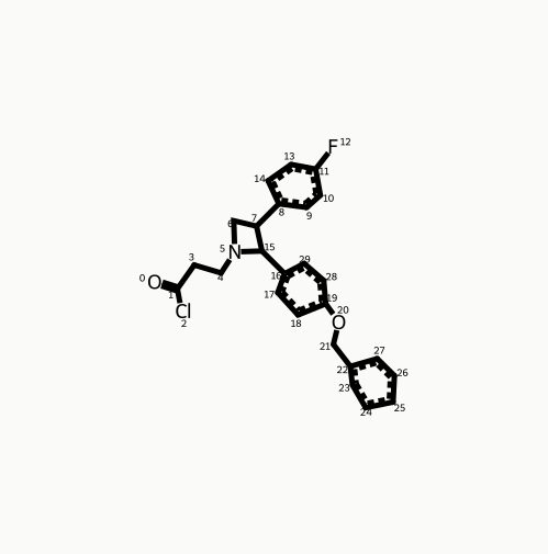 O=C(Cl)CCN1CC(c2ccc(F)cc2)C1c1ccc(OCc2ccccc2)cc1